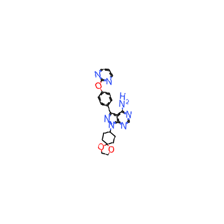 Nc1ncnc2c1c(-c1ccc(Oc3ncccn3)cc1)nn2C1CCC2(CC1)OCCO2